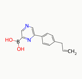 C=CCc1ccc(-c2cncc(B(O)O)n2)cc1